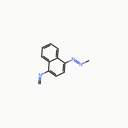 C=Nc1ccc(N=NC)c2ccccc12